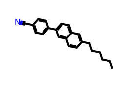 CCCCCCc1ccc2cc(-c3ccc(C#N)cc3)ccc2c1